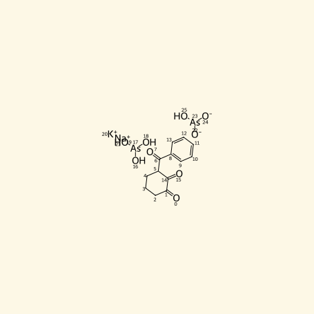 O=C1CCCC(C(=O)c2ccccc2)C1=O.O[As](O)O.[K+].[Na+].[O-][As]([O-])O